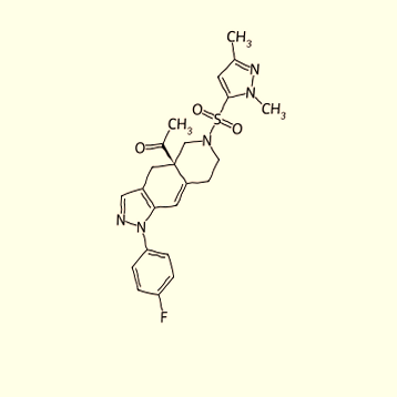 CC(=O)[C@]12Cc3cnn(-c4ccc(F)cc4)c3C=C1CCN(S(=O)(=O)c1cc(C)nn1C)C2